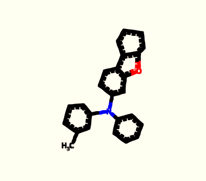 Cc1cccc(N(c2ccccc2)c2ccc3c(c2)oc2ccccc23)c1